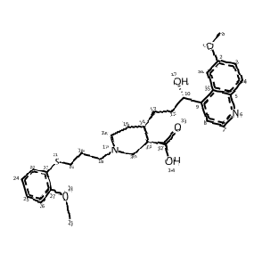 COc1ccc2nccc([C@@H](O)CC[C@@H]3CCN(CCCSc4ccccc4OC)C[C@@H]3C(=O)O)c2c1